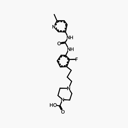 Cc1ccc(NC(=O)Nc2cccc(CCCN3CCN(C(=O)O)CC3)c2F)cn1